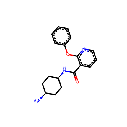 N[C@H]1CC[C@@H](NC(=O)c2cccnc2Oc2ccccc2)CC1